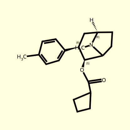 Cc1ccc([C@H]2C[C@H]3CCC([C@H]2OC(=O)C2CCC2)N3C)cc1